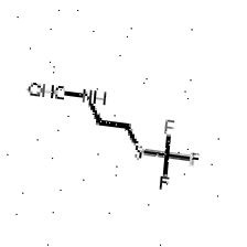 O=[C]NCCSC(F)(F)F